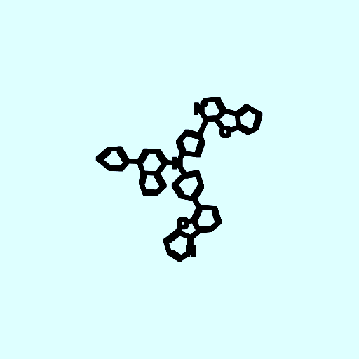 c1ccc(-c2ccc(N(c3ccc(-c4nccc5c4oc4ccccc45)cc3)c3ccc(-c4cccc5c4oc4cccnc45)cc3)c3ccccc23)cc1